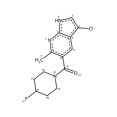 Cc1nc2[nH]cc(Cl)c2cc1C(=O)N1CCC(F)CC1